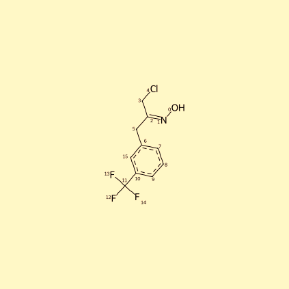 ON=C(CCl)Cc1cccc(C(F)(F)F)c1